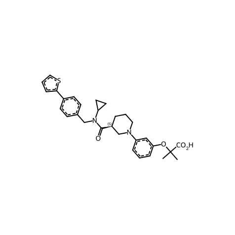 CC(C)(Oc1cccc(N2CCC[C@H](C(=O)N(Cc3ccc(-c4cccs4)cc3)C3CC3)C2)c1)C(=O)O